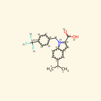 CC(C)c1ccc2c(c1)cc(C(=O)O)n2Cc1ccc(C(F)(F)F)cc1